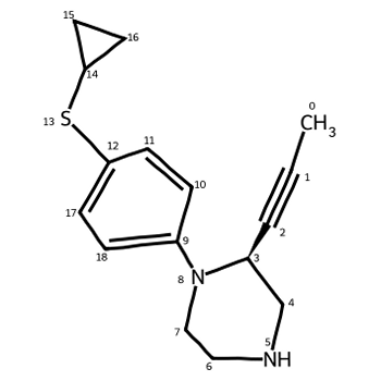 CC#C[C@H]1CNCCN1c1ccc(SC2CC2)cc1